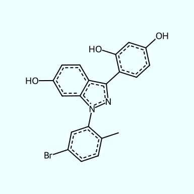 Cc1ccc(Br)cc1-n1nc(-c2ccc(O)cc2O)c2ccc(O)cc21